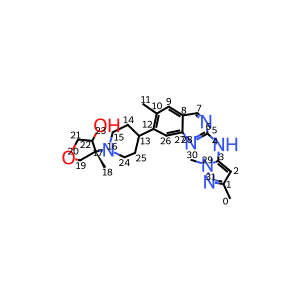 Cc1cc(Nc2ncc3cc(C)c(C4CCN([C@]5(C)COCC5O)CC4)cc3n2)n(C)n1